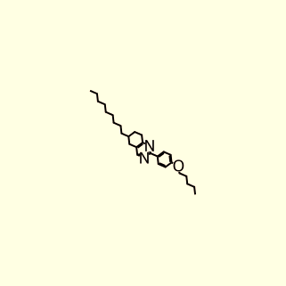 CCCCCCCCCC1CCc2nc(-c3ccc(OCCCCC)cc3)ncc2C1